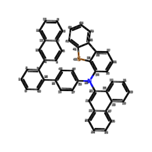 c1ccc(-c2ccc3ccccc3c2)c(-c2ccc(N(c3cc4ccccc4c4ccccc34)c3cccc4c3sc3ccccc34)cc2)c1